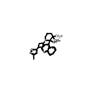 CCCC1(c2ccnc3ccccc23)N(C2CC(c3cc(C)no3)C2)CCCC1(OC)C(=O)O